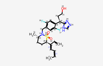 C=C/C(=C\C=C/C)[C@H]1CC[C@H](C)N(Cc2cc(F)c([C@@H](CCO)c3nnc[nH]3)cc2F)S1(=O)=O